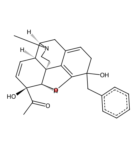 CC(=O)[C@]1(O)C=C[C@H]2[C@H]3CC4=CCC(O)(Cc5ccccc5)C5=C4[C@@]2(CCN3C)[C@H]1O5